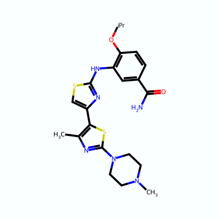 Cc1nc(N2CCN(C)CC2)sc1-c1csc(Nc2cc(C(N)=O)ccc2OC(C)C)n1